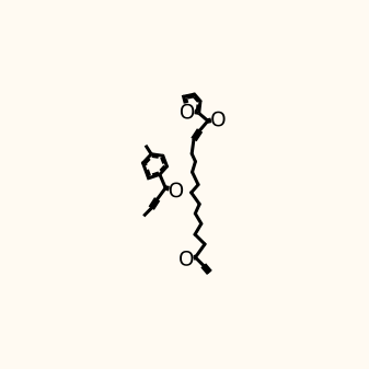 C#CC(=O)CCCCCCCCCCC#CC(=O)c1ccco1.CC#CC(=O)c1ccc(C)cc1